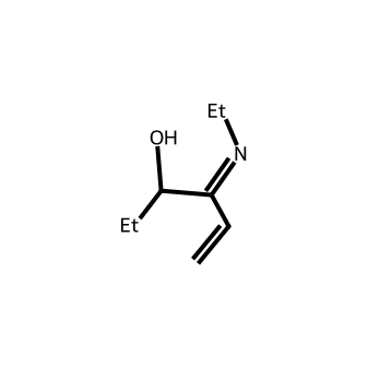 C=CC(=NCC)C(O)CC